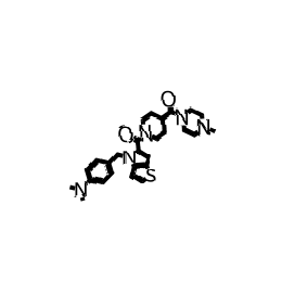 CN1CCN(C(=O)C2CCN(C(=O)c3cc4sccc4n3Cc3ccc(N(C)C)cc3)CC2)CC1